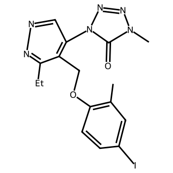 CCc1nncc(-n2nnn(C)c2=O)c1COc1ccc(I)cc1C